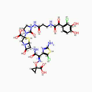 Nc1nc(/C(=N/OC2(C(=O)O)CC2)C(=O)N[C@@H]2C(=O)N3C[C@@](C(=O)O)(N4CCN(NC(=O)CCNC(=O)C(=O)c5ccc(O)c(O)c5Cl)C4=O)SC23)c(Cl)s1